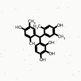 Cc1cc(C(c2cc(C)c(O)cc2C)c2ccc(O)c(O)c2O)c(C)cc1O